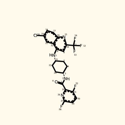 O=C(N[C@H]1CC[C@@H](Nc2cc(C(F)(F)F)nc3ccc(Cl)cc23)CC1)c1nc(F)ccc1F